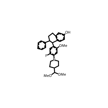 COc1cc(N2CCC(C(OC)OC)CC2)c(F)cc1C1c2ccc(O)cc2CCC1c1ccccc1